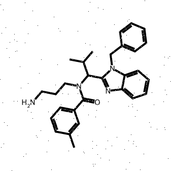 Cc1cccc(C(=O)N(CCCN)C(c2nc3ccccc3n2Cc2ccccc2)C(C)C)c1